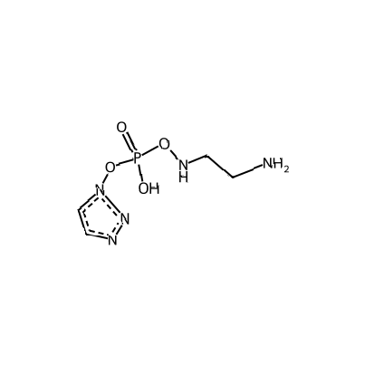 NCCNOP(=O)(O)On1ccnn1